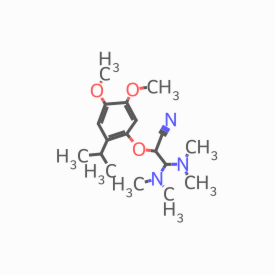 COc1cc(OC(C#N)C(N(C)C)N(C)C)c(C(C)C)cc1OC